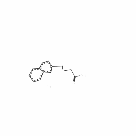 Br.NC(=O)CSCc1ccc2ccccc2c1